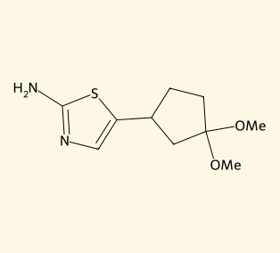 COC1(OC)CCC(c2cnc(N)s2)C1